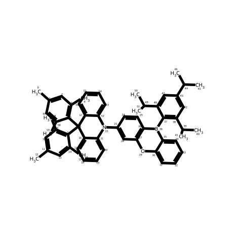 Cc1cc(C)c(C2(c3c(C)cc(C)cc3C)c3ccccc3N(c3ccc4c(c3)Oc3ccccc3B4c3c(C(C)C)cc(C(C)C)cc3C(C)C)c3ccccc32)c(C)c1